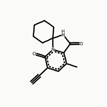 C#Cc1cc(C)c2n(c1=O)C1(CCCCC1)NC2=O